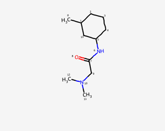 CC1CCCC(NC(=O)CN(C)C)C1